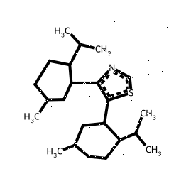 CC1CCC(C(C)C)C(c2n[c]sc2C2CC(C)CCC2C(C)C)C1